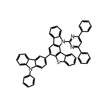 c1ccc(-c2cc(-c3ccccc3)nc(-n3c4ccccc4c4cc(-c5ccc6c(c5)c5ccccc5n6-c5ccccc5)c5sc6ccccc6c5c43)n2)cc1